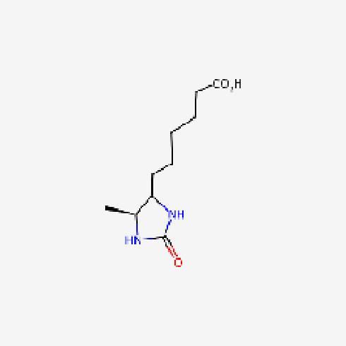 C[C@@H]1NC(=O)NC1CCCCCC(=O)O